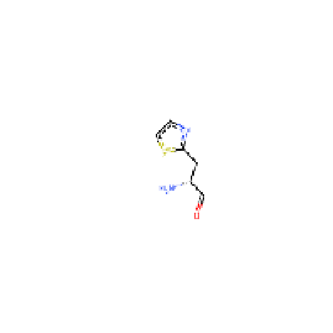 N[C@@H](C=O)Cc1nccs1